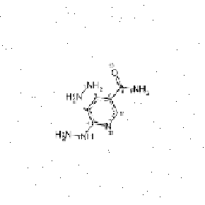 NN.NNc1ccc(C(N)=O)cn1